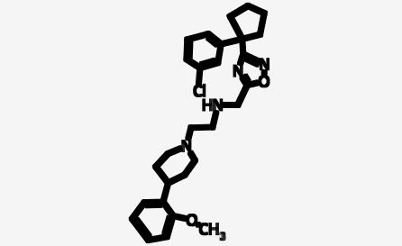 COc1ccccc1C1CCN(CCNCc2nc(C3(c4cccc(Cl)c4)CCCC3)no2)CC1